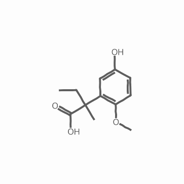 CCC(C)(C(=O)O)c1cc(O)ccc1OC